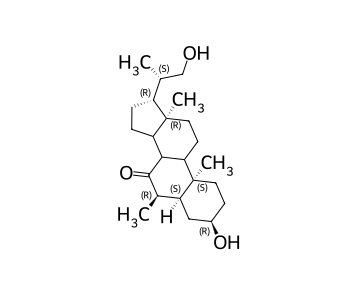 C[C@H](CO)[C@H]1CCC2C3C(=O)[C@H](C)[C@@H]4C[C@H](O)CC[C@]4(C)C3CC[C@@]21C